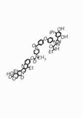 CCNC(=O)c1nnc(-c2cc(C(C)C)c(O)cc2O)n1-c1ccc(Oc2ccc(C(=O)N3CCC(N(C)C(=O)Oc4ccc5nc6c(c(CC)c5c4)Cn4c-6cc5c(c4=O)COC(=O)[C@]5(O)CC)CC3)cc2)cc1